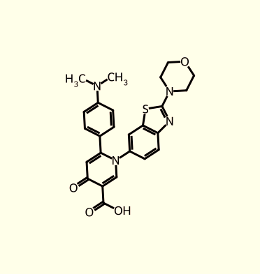 CN(C)c1ccc(-c2cc(=O)c(C(=O)O)cn2-c2ccc3nc(N4CCOCC4)sc3c2)cc1